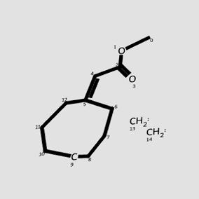 COC(=O)C=C1[CH]CCCCCC1.[CH2].[CH2]